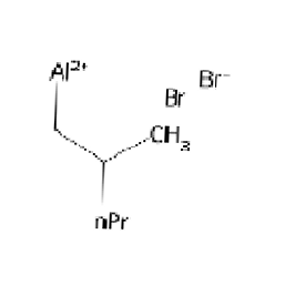 CCCC(C)[CH2][Al+2].[Br-].[Br-]